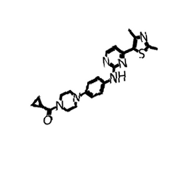 Cc1nc(C)c(-c2ccnc(Nc3ccc(N4CCN(C(=O)C5CC5)CC4)cc3)n2)s1